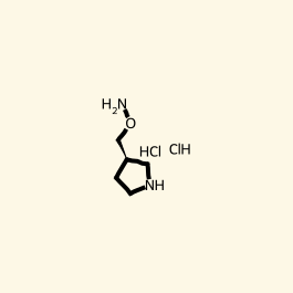 Cl.Cl.NOC[C@@H]1CCNC1